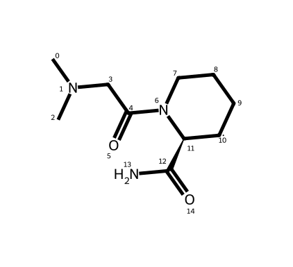 CN(C)CC(=O)N1CCC[CH][C@H]1C(N)=O